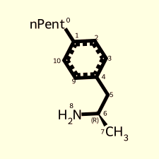 CCCCCc1ccc(C[C@@H](C)N)cc1